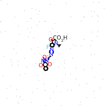 O=C1c2ccccc2C(=O)c2c1n[n+]([O-])n2CCCN1CCN(c2cc3c(cc2F)C(=O)C(C(=O)O)CN3C2CC2)CC1